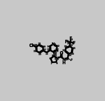 C[C@H](NC(=O)N1CCC[C@@H]1c1ncncc1Cc1ccc(Cl)cc1)c1ccc(C(F)(F)F)cc1